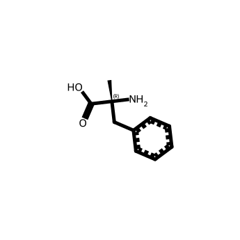 C[C@@](N)(Cc1ccccc1)C(=O)O